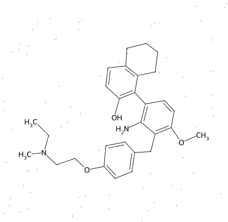 CCN(C)CCOc1ccc(Cc2c(OC)ccc(-c3c(O)ccc4c3CCCC4)c2N)cc1